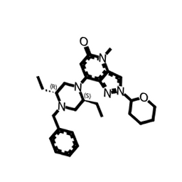 CC[C@@H]1CN(c2cc(=O)n(C)c3cn(C4CCCCO4)nc23)[C@@H](CC)CN1Cc1ccccc1